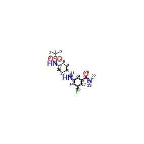 CC(C)S(=O)(=O)N[C@H]1CC[C@H](CNc2cc(F)cc(C(=O)N(C)C)c2)CC1